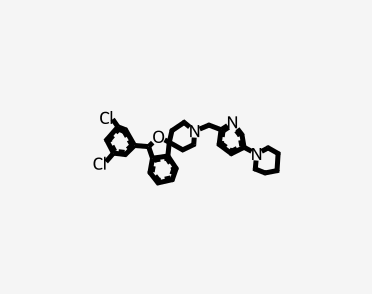 Clc1cc(Cl)cc(C2OC3(CCN(Cc4ccc(N5CCCCC5)cn4)CC3)c3ccccc32)c1